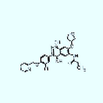 C=CC(=O)Nc1cc(C(=N)Nc2ccc(OCc3ccccn3)c(Cl)c2)c(NC)cc1OC1CCOC1